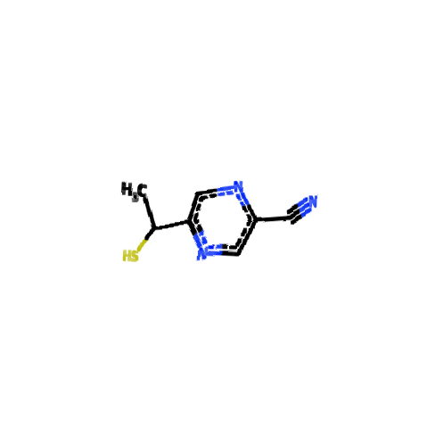 CC(S)c1cnc(C#N)cn1